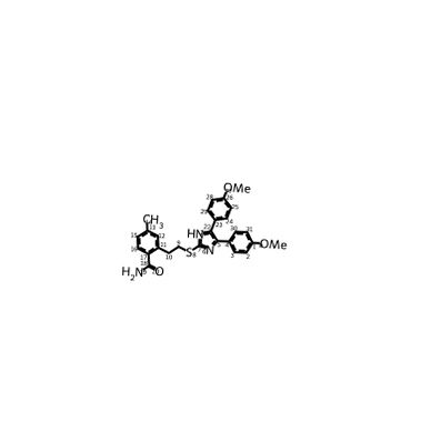 COc1ccc(-c2nc(SCCc3cc(C)ccc3C(N)=O)[nH]c2-c2ccc(OC)cc2)cc1